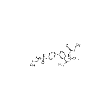 CC(C)CC(=O)N1c2ccc(-c3ccc(S(=O)(=O)NCCO)cc3)cc2N(C(=O)O)C[C@@H]1C